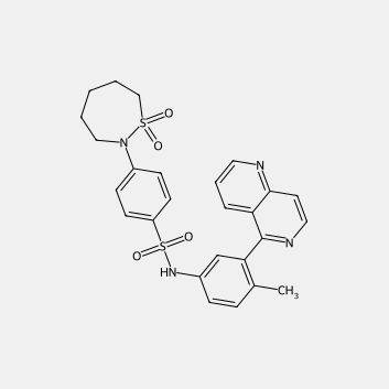 Cc1ccc(NS(=O)(=O)c2ccc(N3CCCCCS3(=O)=O)cc2)cc1-c1nccc2ncccc12